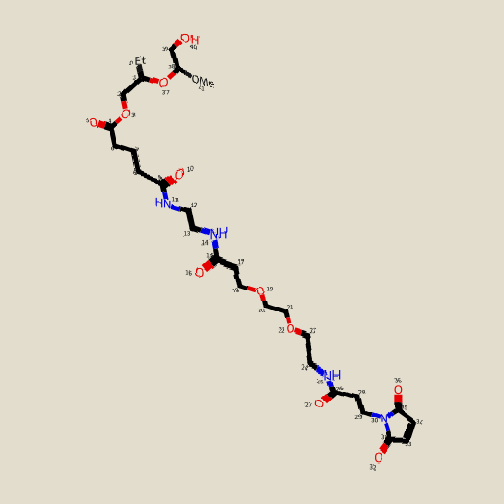 CCC(COC(=O)CCCC(=O)NCCNC(=O)CCOCCOCCNC(=O)CCN1C(=O)C=CC1=O)OC(CO)OC